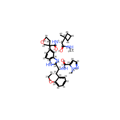 CCNC(=O)[C@H](NC(=O)C1(c2ccc3[nH]c([C@@H](NC(=O)c4ccnn4C)[C@H]4CCOc5ccccc54)nc3c2)CCOC1)C1(C)CCC1